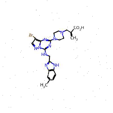 C=C(CN1CCN(c2nc(NCc3nc4cc(C)ccc4[nH]3)n3ncc(Br)c3n2)CC1)C(=O)O